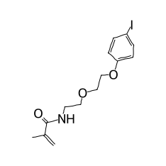 C=C(C)C(=O)NCCOCCOc1ccc(I)cc1